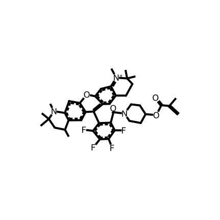 C=C(C)C(=O)OC1CCN(C(=O)c2c(F)c(F)c(F)c(F)c2C2=c3cc4c(cc3Oc3cc5c(cc32)C(C)CC(C)(C)N5C)=[N+](C)C(C)(C)CC4)CC1